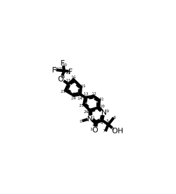 Cn1c(=O)c(C(C)(C)O)nc2ccc(-c3ccc(OC(F)(F)F)cc3)cc21